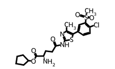 Cc1nc(NC(=O)CC[C@H](N)C(=O)OC2CCCC2)sc1-c1ccc(Cl)c(S(C)(=O)=O)c1